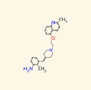 Cc1ccc2c(OCCN3CCC(=Cc4cccc(N)c4C)CC3)cccc2n1